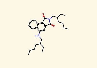 CCCCC(CC)CNc1cc2c(c3ccccc13)C(=O)N(CC(CC)CCCC)C2=O